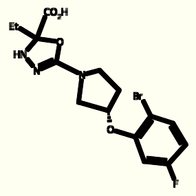 CCC1(C(=O)O)NN=C(N2CC[C@H](Oc3cc(F)ccc3Br)C2)O1